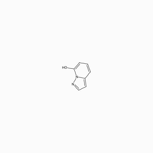 Oc1cccc2ccnn12